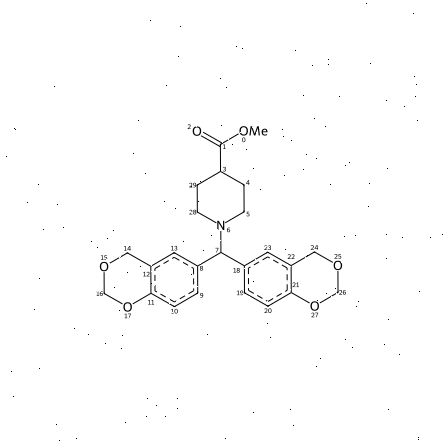 COC(=O)C1CCN(C(c2ccc3c(c2)COCO3)c2ccc3c(c2)COCO3)CC1